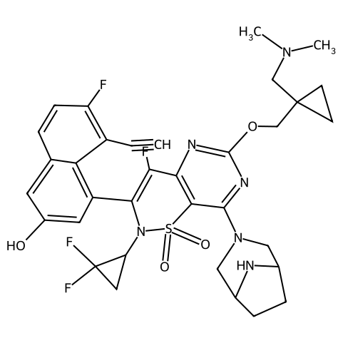 C#Cc1c(F)ccc2cc(O)cc(C3=C(F)c4nc(OCC5(CN(C)C)CC5)nc(N5CC6CCC(C5)N6)c4S(=O)(=O)N3C3CC3(F)F)c12